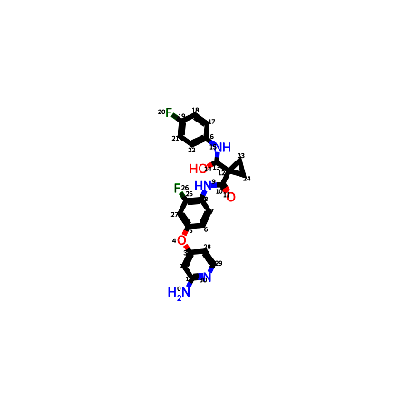 Nc1cc(Oc2ccc(NC(=O)C3(C(O)Nc4ccc(F)cc4)CC3)c(F)c2)ccn1